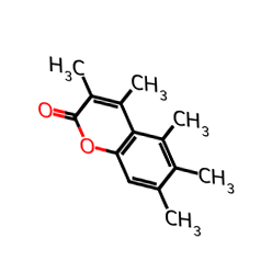 Cc1cc2oc(=O)c(C)c(C)c2c(C)c1C